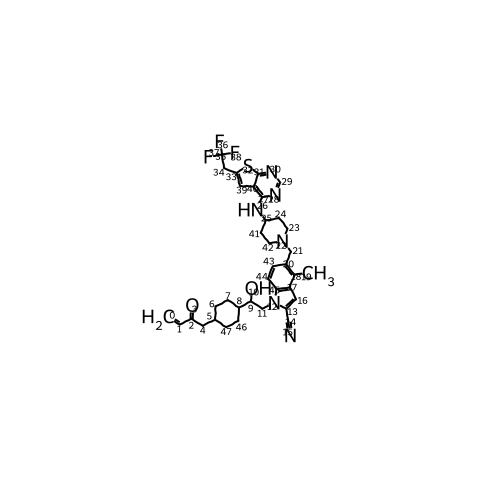 C=CC(=O)CC1CCC(C(O)Cn2c(C#N)cc3c(C)c(CN4CCC(Nc5ncnc6sc(CC(F)(F)F)cc56)CC4)ccc32)CC1